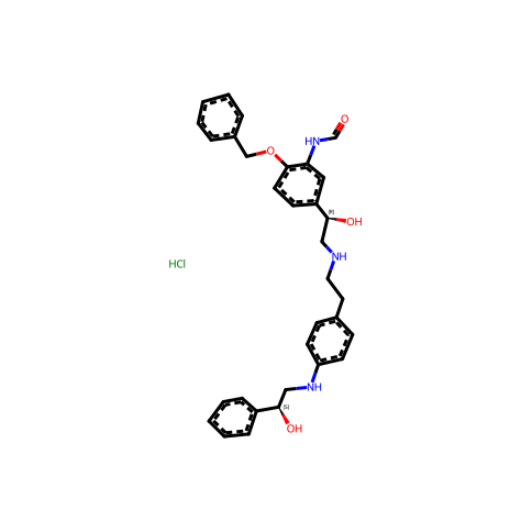 Cl.O=CNc1cc([C@@H](O)CNCCc2ccc(NC[C@@H](O)c3ccccc3)cc2)ccc1OCc1ccccc1